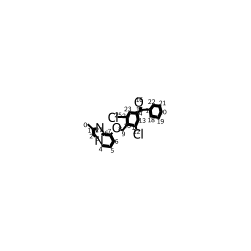 Cc1cn2cccc(OCc3c(Cl)cc(C(=O)c4ccccc4)cc3Cl)c2n1